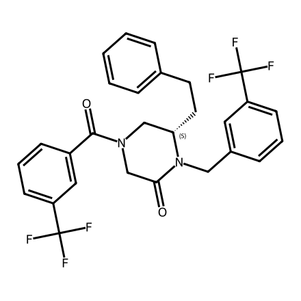 O=C(c1cccc(C(F)(F)F)c1)N1CC(=O)N(Cc2cccc(C(F)(F)F)c2)[C@@H](CCc2ccccc2)C1